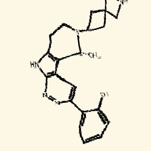 C[C@@H]1c2c([nH]c3nnc(-c4ccccc4O)cc23)CCN1C1CC2(CNC2)C1